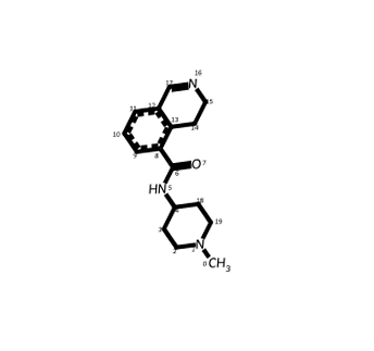 CN1CCC(NC(=O)c2cccc3c2CCN=C3)CC1